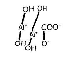 O=C([O-])[O-].[OH][Al+][OH].[OH][Al+][OH]